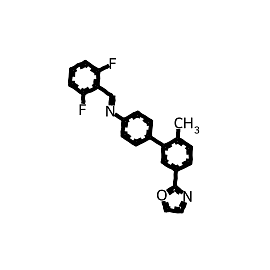 Cc1ccc(-c2ncco2)cc1-c1ccc(N=Cc2c(F)cccc2F)cc1